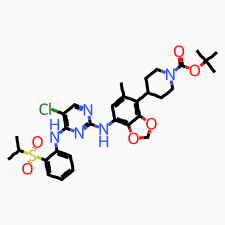 Cc1cc(Nc2ncc(Cl)c(Nc3ccccc3S(=O)(=O)C(C)C)n2)c2c(c1C1CCN(C(=O)OC(C)(C)C)CC1)OCO2